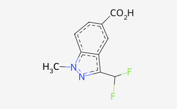 Cn1nc(C(F)F)c2cc(C(=O)O)ccc21